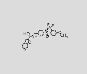 COc1ccc(S(=O)(=O)c2ccc(CNC(O)c3cc4ccncc4o3)cc2)c(C(F)(F)F)c1